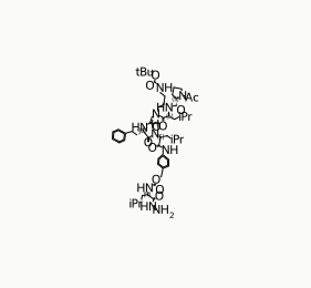 CC(=O)N1CCC[C@H]1C(=O)N[C@@H](CC(C)C)C(=O)N(CCCCNC(=O)OC(C)(C)C)CC(=O)N[C@@H](CCc1ccccc1)C(=O)N[C@@H](CC(C)C)C(=O)Nc1ccc(COC(=O)N[C@H](CC(C)C)C(=O)NN)cc1